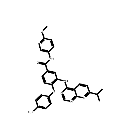 COc1ccc(NC(=O)c2ccc(Sc3ccc(N)cc3)c(Nc3ncnc4nc(C(C)C)ccc34)c2)cn1